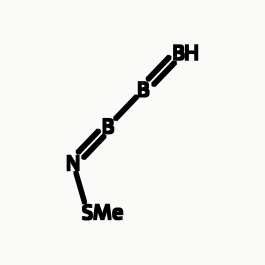 B=BB=NSC